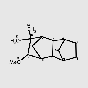 COC1C2CC(C3C4CCC(C4)C23)C1(C)C